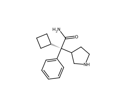 NC(=O)[C@@](c1ccccc1)(C1CCC1)C1CCNC1